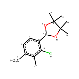 Cc1c(C(=O)O)ccc(B2OC(C)(C)C(C)(C)O2)c1Cl